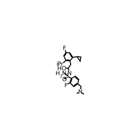 CC(C)c1cc(F)cc(C2CC2)c1CC(O)N=S(N)(=O)c1ccc(CN(C)C)cc1F